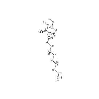 CCC(=O)O.CCOCC.OCCOCCOCCO